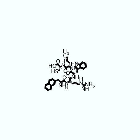 CCCC[C@H](NC(=O)[C@H](Cc1c[nH]c2ccccc12)NC(=O)[C@H](CCCNC(=N)N)NC(=O)[C@@H](N)Cc1ccc2ccccc2c1)C(=O)N[C@@H](CS)C(=O)O